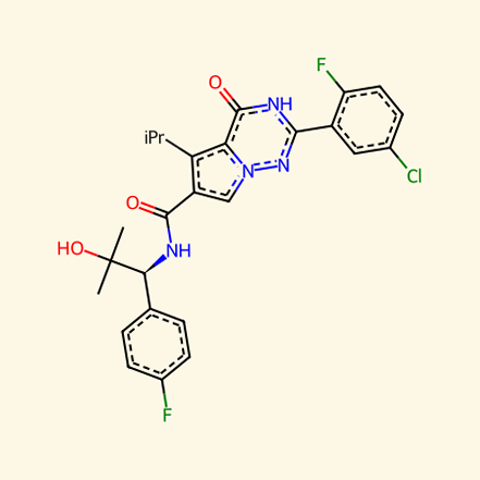 CC(C)c1c(C(=O)N[C@@H](c2ccc(F)cc2)C(C)(C)O)cn2nc(-c3cc(Cl)ccc3F)[nH]c(=O)c12